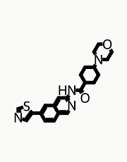 O=C(Nc1cc2cc(-c3cncs3)ccc2cn1)C1CCC(N2CCOCC2)CC1